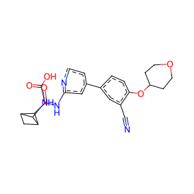 N#Cc1cc(-c2ccnc(NC(=O)C3C4CC3C4NC(=O)O)c2)ccc1OC1CCOCC1